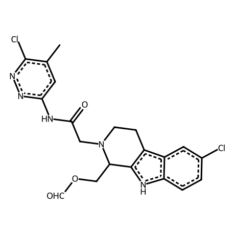 Cc1cc(NC(=O)CN2CCc3c([nH]c4ccc(Cl)cc34)C2COC=O)nnc1Cl